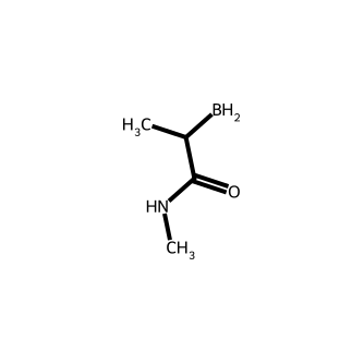 BC(C)C(=O)NC